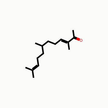 CC(=O)C(C)=CCCC(C)CCC=C(C)C